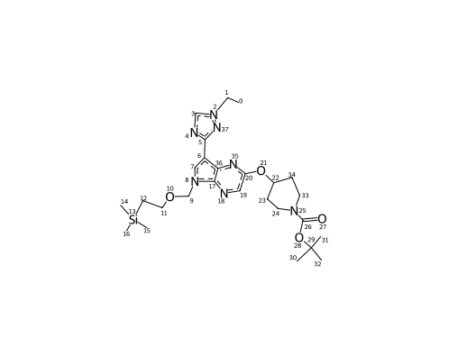 CCn1cnc(-c2cn(COCC[Si](C)(C)C)c3ncc(OC4CCN(C(=O)OC(C)(C)C)CC4)nc23)n1